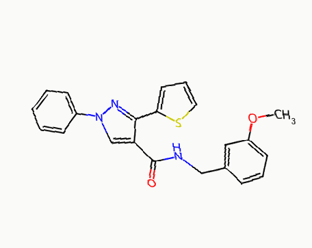 COc1cccc(CNC(=O)c2cn(-c3ccccc3)nc2-c2cccs2)c1